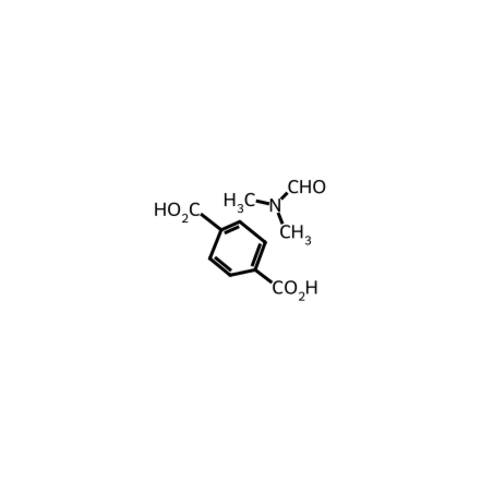 CN(C)C=O.O=C(O)c1ccc(C(=O)O)cc1